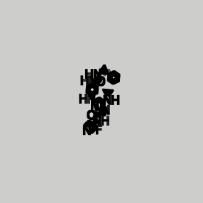 O=C(N[C@@H]1C[C@H]1c1ccccc1)N[C@H]1CC[C@H](Nc2cc(NC3CC3)c3ncc(C(=O)Nc4ccncc4F)n3n2)CC1